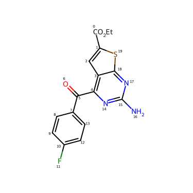 CCOC(=O)c1cc2c(C(=O)c3ccc(F)cc3)nc(N)nc2s1